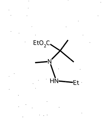 CCNN(C)C(C)(C)C(=O)OCC